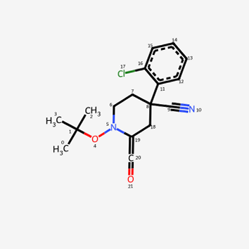 CC(C)(C)ON1CCC(C#N)(c2ccccc2Cl)CC1=C=O